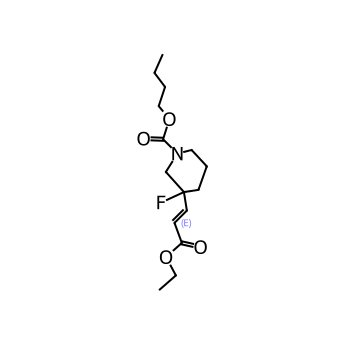 CCCCOC(=O)N1CCCC(F)(/C=C/C(=O)OCC)C1